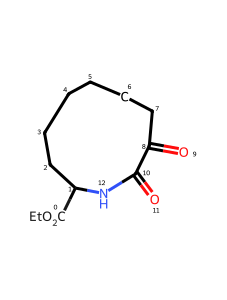 CCOC(=O)C1CCCCCCC(=O)C(=O)N1